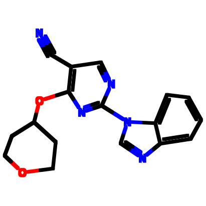 N#Cc1cnc(-n2cnc3ccccc32)nc1OC1CCOCC1